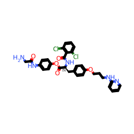 NCC(=O)Nc1ccc(OC(=O)[C@H](Cc2ccc(OCCCNc3ccccn3)cc2)NC(=O)c2c(Cl)cccc2Cl)cc1